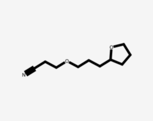 N#CCCOCCCC1CCCO1